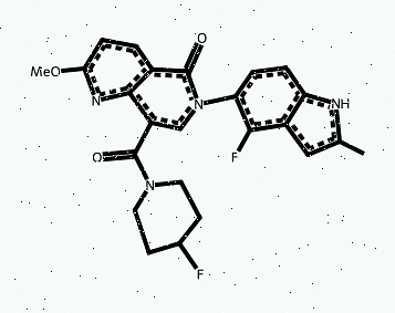 COc1ccc2c(=O)n(-c3ccc4[nH]c(C)cc4c3F)cc(C(=O)N3CCC(F)CC3)c2n1